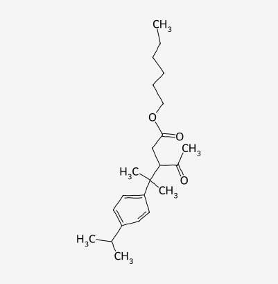 CCCCCCOC(=O)CC(C(C)=O)C(C)(C)c1ccc(C(C)C)cc1